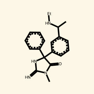 CCNC(C)c1cccc(C2(c3ccccc3)NC(=N)N(C)C2=O)c1